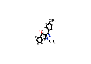 CC(C)COc1ccc(-c2nn(C)c3c2C(=O)c2ccccc2-3)cc1